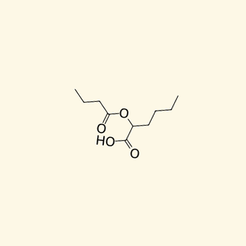 CCCCC(OC(=O)CCC)C(=O)O